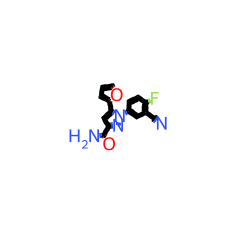 N#Cc1cc(-n2nc(C(N)=O)cc2-c2ccco2)ccc1F